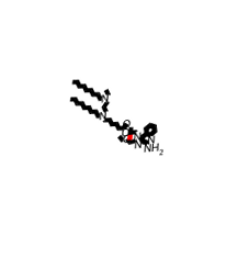 CCCCCCCCCN(CC)CCCN(CCCCCCCCC)CCCCCC(=O)OC(C)(C)Cn1c(COCC)nc2c(N)nc3ccccc3c21